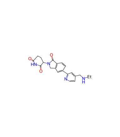 CCNCc1ccnc(-c2ccc3c(c2)CN(C2CCC(=O)NC2=O)C3=O)c1